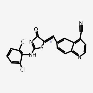 N#Cc1ccnc2ccc(/C=C3\SC(Nc4c(Cl)cccc4Cl)=NC3=O)cc12